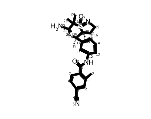 Cc1cc(C#N)ccc1C(=O)Nc1ccc(F)c([C@@]2(C)N=C(N)C(C)(C)S3(=O)=NCC[C@@H]23)c1